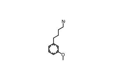 COc1cccc(CCCC[N])c1